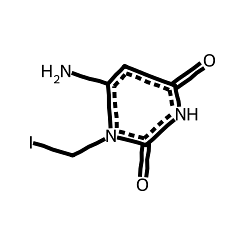 Nc1cc(=O)[nH]c(=O)n1CI